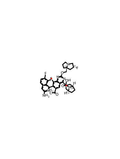 CC(=O)c1cc2c(N3C[C@H]4CC[C@@H](C3)N4C(=O)O)nc(OC[C@@]34CCCN3C[C@H](F)C4)nc2c(F)c1-c1nc(N)cc2ccc(F)c(F)c12